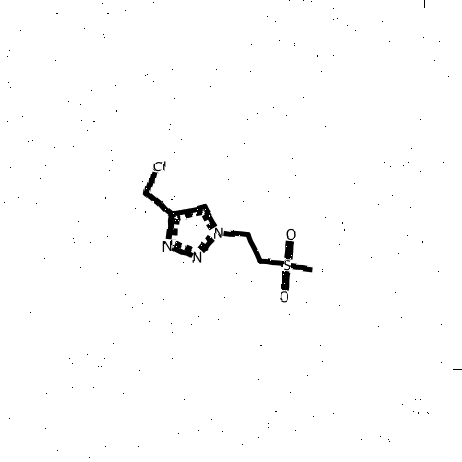 CS(=O)(=O)CCn1cc(CCl)nn1